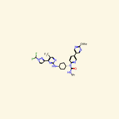 COc1ncc(-c2ccc(N(C(=O)NC(C)C)[C@H]3CC[C@H](Nc4ncc(C(F)(F)F)c(-c5ccn(C(F)F)n5)n4)CC3)nc2)cn1